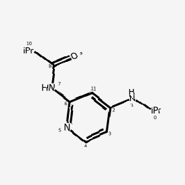 CC(C)Nc1ccnc(NC(=O)C(C)C)c1